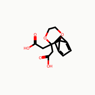 O=C(O)CC1(CC(=O)O)OCCOC12C1=CC=C2C=C1